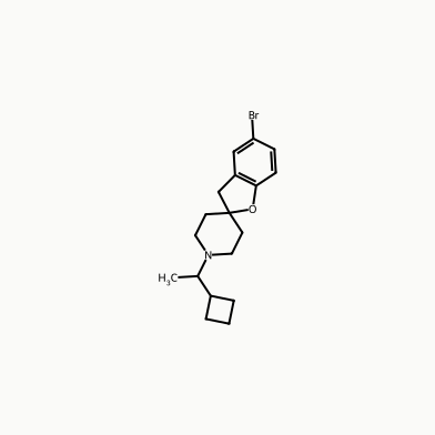 CC(C1CCC1)N1CCC2(CC1)Cc1cc(Br)ccc1O2